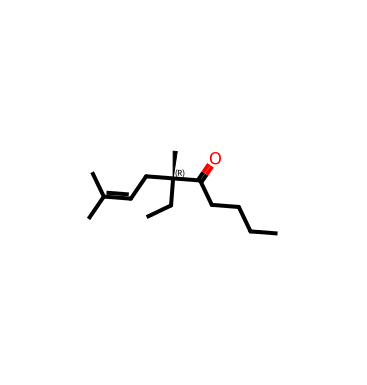 CCCCC(=O)[C@](C)(CC)CC=C(C)C